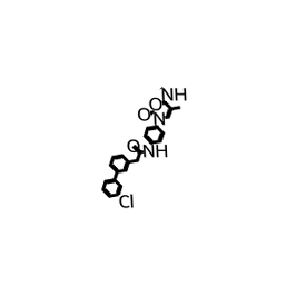 CNC(=O)/C(C)=C\N(C=O)c1ccc(NC(=O)Cc2cccc(-c3cccc(Cl)c3)c2)cc1